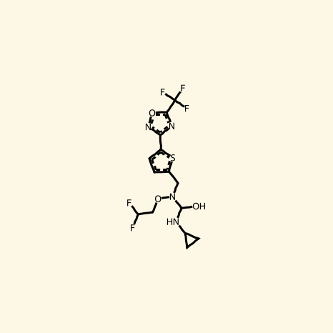 OC(NC1CC1)N(Cc1ccc(-c2noc(C(F)(F)F)n2)s1)OCC(F)F